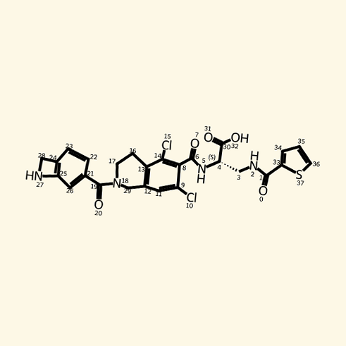 O=C(NC[C@H](NC(=O)c1c(Cl)cc2c(c1Cl)CCN(C(=O)c1ccc3c(c1)NC3)C2)C(=O)O)c1cccs1